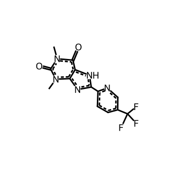 Cn1c(=O)c2[nH]c(-c3ccc(C(F)(F)F)cn3)nc2n(C)c1=O